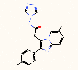 Cc1ccc(-c2nc3ccc(C)cn3c2CC(=O)Nn2cnnc2)cc1